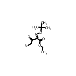 CCOC(=O)/C(=N\OC(C)(C)C)C(=O)CBr